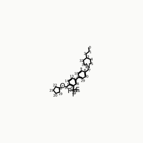 CCCC1CCN(Cc2ccc(-c3ccc(COC4CCCC4)c(C(F)(F)F)c3)cc2)CC1